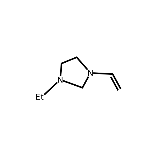 C=CN1CCN(CC)C1